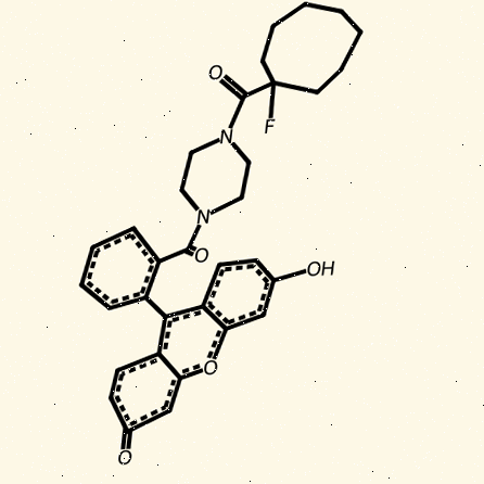 O=C(c1ccccc1-c1c2ccc(=O)cc-2oc2cc(O)ccc12)N1CCN(C(=O)C2(F)CCCCCCC2)CC1